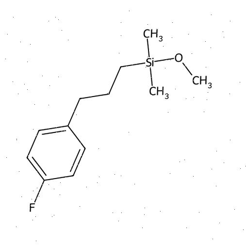 CO[Si](C)(C)CCCc1ccc(F)cc1